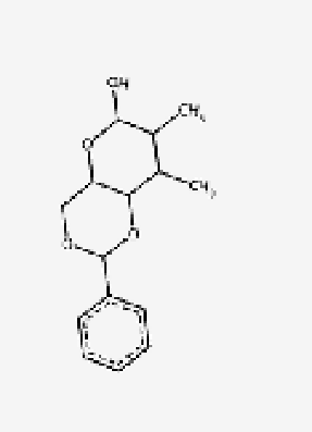 CC1C(O)OC2COC(c3ccccc3)OC2C1C